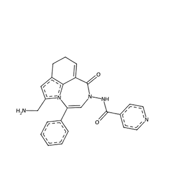 NCc1cc2c3n1C(c1ccccc1)=CN(NC(=O)c1ccncc1)C(=O)C3=CCC2